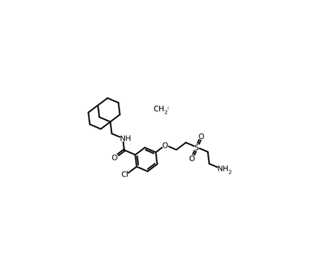 NCCS(=O)(=O)CCOc1ccc(Cl)c(C(=O)NCC23CCCC(CCC2)C3)c1.[CH2]